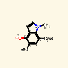 CCCCc1cc(OC)c2c(ccn2C)c1O